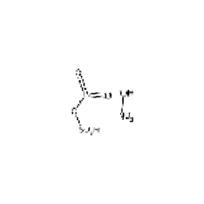 O=P(=O)OS(=O)(=O)O.O=[N+]([O-])O